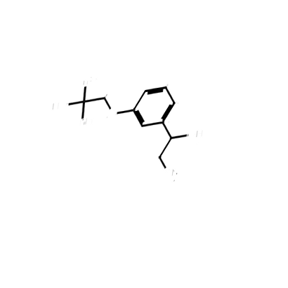 CCCC(O)(CCC)CSc1cccc(C(O)CC#N)c1